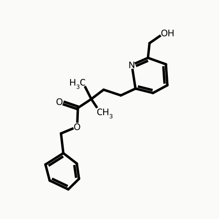 CC(C)(CCc1cccc(CO)n1)C(=O)OCc1ccccc1